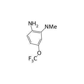 CNc1cc(OC(F)(F)F)ccc1N